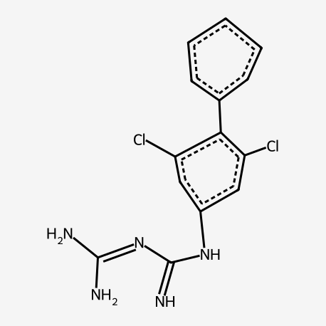 N=C(N=C(N)N)Nc1cc(Cl)c(-c2ccccc2)c(Cl)c1